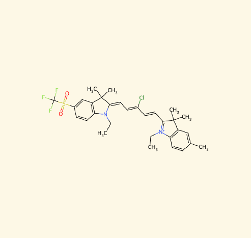 CCN1C(=CC=C(Cl)C=CC2=[N+](CC)c3ccc(C)cc3C2(C)C)C(C)(C)c2cc(S(=O)(=O)C(F)(F)F)ccc21